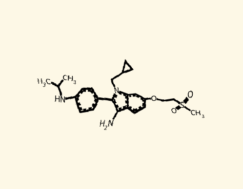 CC(C)Nc1ccc(-c2c(N)c3ccc(OCCS(C)(=O)=O)cc3n2CC2CC2)cc1